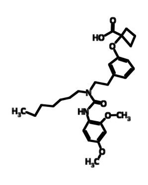 CCCCCCCN(CCc1cccc(OC2(C(=O)O)CCC2)c1)C(=O)Nc1ccc(OC)cc1OC